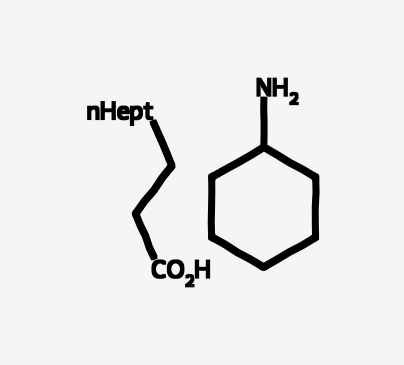 CCCCCCCCCC(=O)O.NC1CCCCC1